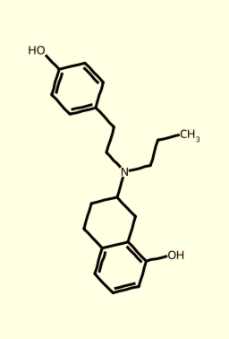 CCCN(CCc1ccc(O)cc1)C1CCc2cccc(O)c2C1